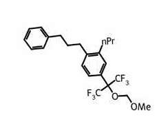 CCCc1cc(C(OCOC)(C(F)(F)F)C(F)(F)F)ccc1CCCc1ccccc1